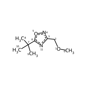 COCc1noc(C(C)(C)C)n1